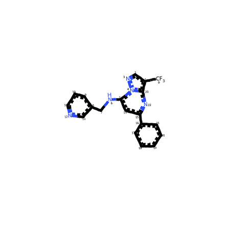 FC(F)(F)c1cnn2c(NCc3cccnc3)cc(-c3ccccc3)nc12